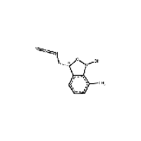 Cc1cccc2c1B(O)O[C@H]2CN=[N+]=[N-]